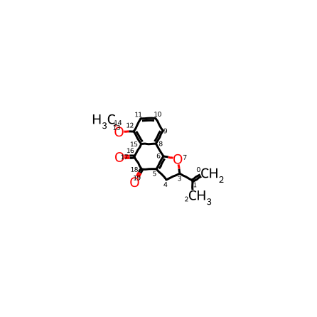 C=C(C)C1CC2=C(O1)c1cccc(OC)c1C(=O)C2=O